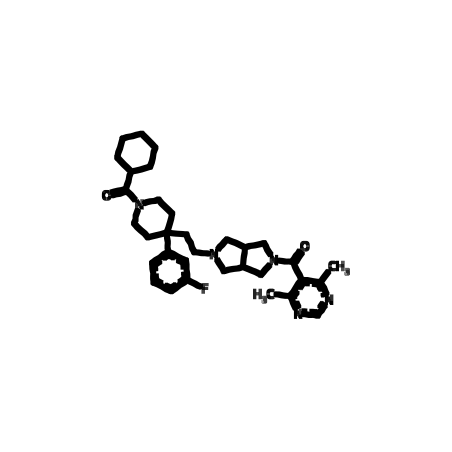 Cc1ncnc(C)c1C(=O)N1CC2CN(CCC3(c4cccc(F)c4)CCN(C(=O)C4CCCCC4)CC3)CC2C1